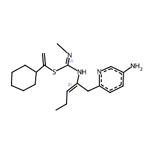 C=C(S/C(=N\C)N/C(=C/CC)Cc1ccc(N)cn1)C1CCCCC1